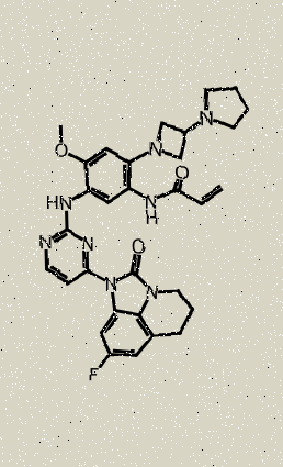 C=CC(=O)Nc1cc(Nc2nccc(-n3c(=O)n4c5c(cc(F)cc53)CCC4)n2)c(OC)cc1N1CC(N2CCCC2)C1